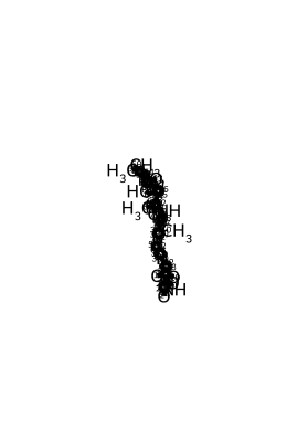 C[C@H]1CN([C@@H]2CCC3(CCN(c4ccc5c(c4)C(=O)N(C4CCC(=O)NC4=O)C5=O)CC3)C2)CCN1c1ccc(Nc2cc(-c3ccnc(N4CCn5c(cc6c5CC(C)(C)C6)C4=O)c3CO)cn(C)c2=O)nc1